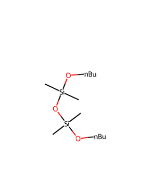 CCCCO[Si](C)(C)O[Si](C)(C)OCCCC